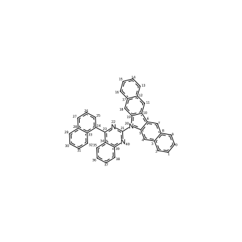 c1ccc2cc3c(cc2c1)c1cc2ccccc2cc1n3-c1nc(-c2cccc3ccccc23)c2ccccc2n1